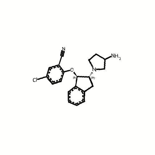 N#Cc1cc(Cl)ccc1O[C@@H]1c2ccccc2C[C@H]1N1CCC(N)C1